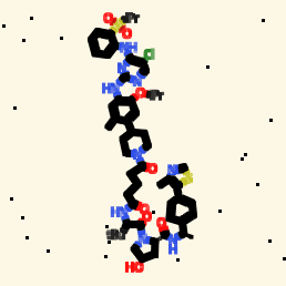 Cc1cc(Nc2ncc(Cl)c(Nc3ccccc3S(=O)(=O)C(C)C)n2)c(OC(C)C)cc1C1CCN(C(=O)CCCC(=O)NC(C(=O)N2C[C@H](O)C[C@H]2C(=O)N[C@@H](C)c2ccc(-c3scnc3C)cc2)C(C)(C)C)CC1